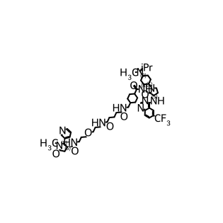 CC(C)N(C)[C@@H]1CC[C@H](N2CC[C@H](Nc3ncnc4ccc(C(F)(F)F)cc34)C2=O)[C@H](NC(=O)C2CCC(CNC(=O)CCCC(=O)NCCCOCCCNC(=O)[C@H]3CC(=O)N(C)[C@@H]3c3cccnc3)CC2)C1